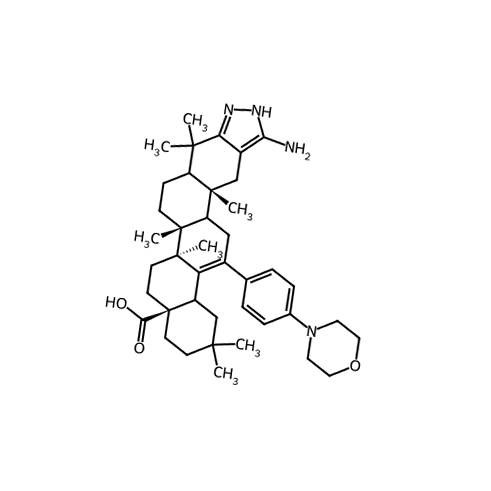 CC1(C)CC[C@]2(C(=O)O)CC[C@]3(C)C(=C(c4ccc(N5CCOCC5)cc4)CC4[C@@]5(C)Cc6c(n[nH]c6N)C(C)(C)C5CC[C@]43C)C2C1